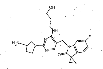 NC1CCN(c2ncc(CN3C(=O)C4(CC4)c4ccc(F)cc43)c(NCCCO)n2)C1